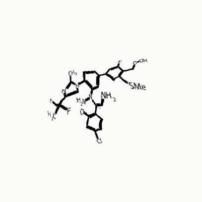 CSc1cc(-c2ccc(-n3cc(C(C)(F)F)nc3C)c(N(N)/C(=C\N)c3ccc(Cl)cc3Cl)c2)cc(F)c1COO